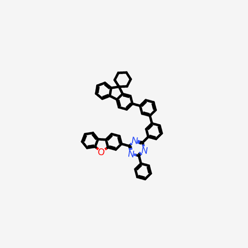 c1ccc(-c2nc(-c3cccc(-c4cccc(-c5ccc6c(c5)C5(CCCCC5)c5ccccc5-6)c4)c3)nc(-c3ccc4c(c3)oc3ccccc34)n2)cc1